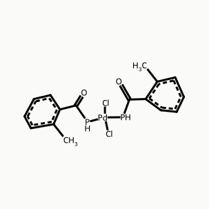 Cc1ccccc1C(=O)[PH][Pd]([Cl])([Cl])[PH]C(=O)c1ccccc1C